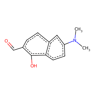 CN(C)c1ccc2c(O)c(C=O)ccc2c1